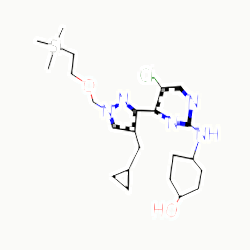 C[Si](C)(C)CCOCn1cc(CC2CC2)c(-c2nc(NC3CCC(O)CC3)ncc2Cl)n1